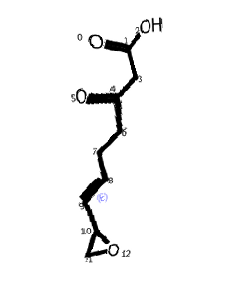 O=C(O)CC(=O)CC/C=C/C1CO1